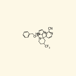 N#Cc1nccc(C2(c3ncc[nH]3)CC(C(F)(F)F)CCN2C(=O)OCc2ccccc2)n1